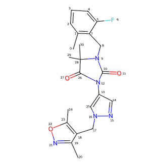 Cc1cccc(F)c1CN1C(=O)N(c2cnn(Cc3c(C)noc3C)c2)C(=O)C1(C)C